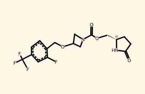 O=C1CC[C@@H](COC(=O)N2CC(OCc3ccc(C(F)(F)F)cc3F)C2)N1